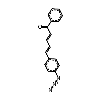 [N-]=[N+]=Nc1ccc(C=CC=CC(=O)c2ccccc2)cc1